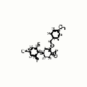 COc1ccc(CO[C@@H]2CN(c3c(F)cc(Cl)cc3F)CC[C@]23CO3)cc1